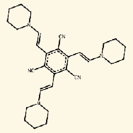 N#Cc1c(/C=C/N2CCCCC2)c(C#N)c(/C=C/N2CCCCC2)c(C#N)c1/C=C/N1CCCCC1